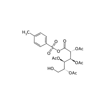 CC(=O)O[C@@H]([C@H](OC(C)=O)[C@@H](OC(C)=O)C(=O)OS(=O)(=O)c1ccc(C)cc1)[C@@H](CO)OC(C)=O